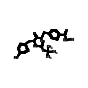 CC(C)(C)OC(=O)NC(Cc1ccc(O)cn1)C(=O)NCc1ccc(C(=O)NO)cc1